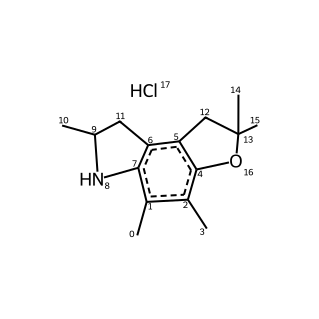 Cc1c(C)c2c(c3c1NC(C)C3)CC(C)(C)O2.Cl